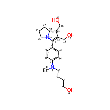 CCN(CCCCO)c1ccc(-c2c(CO)c(CO)c3n2CCC3)cc1